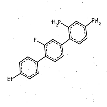 CCc1ccc(-c2ccc(-c3ccc(P)cc3P)cc2F)cc1